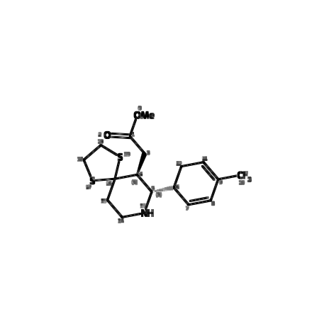 COC(=O)C[C@H]1[C@H](C2C=CC(C(F)(F)F)=CC2)NCCC12SCCS2